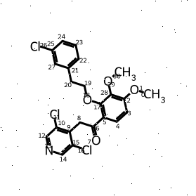 COc1ccc(C(=O)Cc2c(Cl)cncc2Cl)c(OCCc2cccc(Cl)c2)c1OC